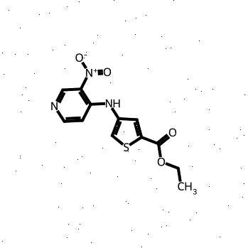 CCOC(=O)c1cc(Nc2ccncc2[N+](=O)[O-])cs1